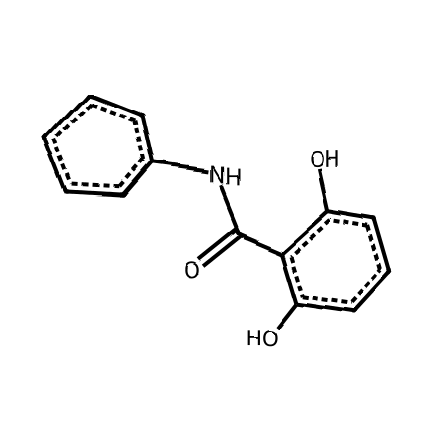 O=C(Nc1ccccc1)c1c(O)cccc1O